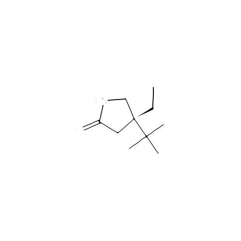 CC[C@]1(C(C)(C)C)CNC(=O)C1